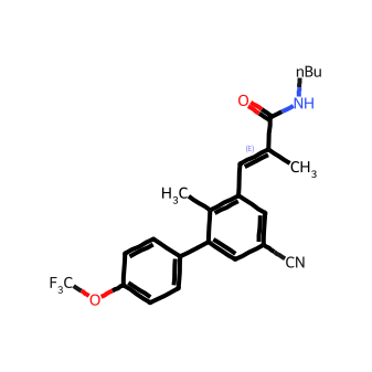 CCCCNC(=O)/C(C)=C/c1cc(C#N)cc(-c2ccc(OC(F)(F)F)cc2)c1C